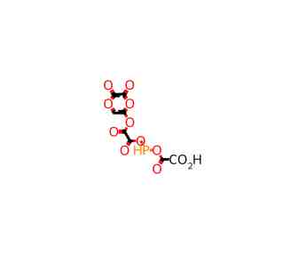 O=C(O)C(=O)OPOC(=O)C(=O)Oc1coc(=O)c(=O)o1